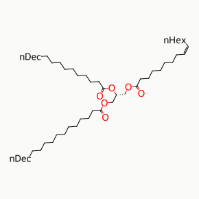 CCCCCC/C=C\CCCCCCCC(=O)OC[C@H](COC(=O)CCCCCCCCCCCCCCCCCCCCC)OC(=O)CCCCCCCCCCCCCCCCCCC